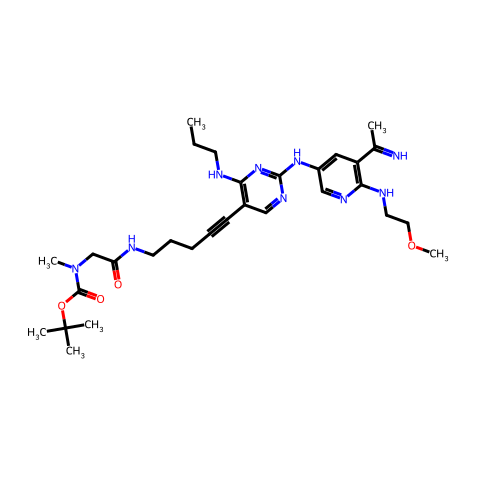 CCCNc1nc(Nc2cnc(NCCOC)c(C(C)=N)c2)ncc1C#CCCCNC(=O)CN(C)C(=O)OC(C)(C)C